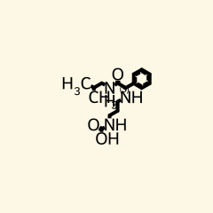 CC(C)CNC(=O)[C@@H](NCCCNC(=O)O)c1ccccc1